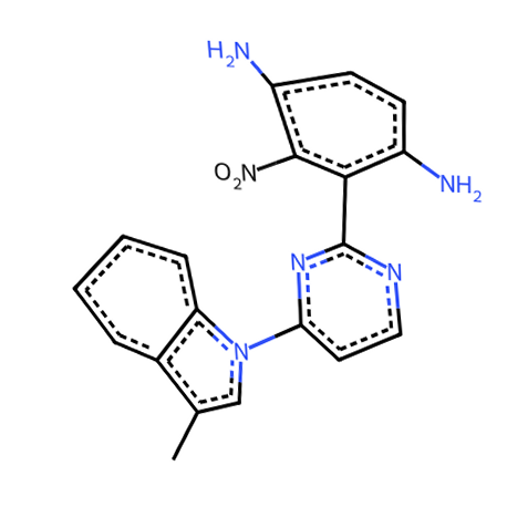 Cc1cn(-c2ccnc(-c3c(N)ccc(N)c3[N+](=O)[O-])n2)c2ccccc12